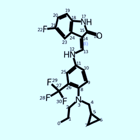 CCCN(CC1CC1)c1ccc(N/C=C2/C(=O)Nc3ccc(F)cc32)cc1C(F)(F)F